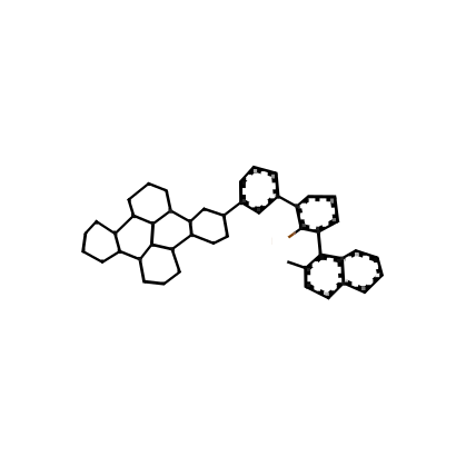 Cc1ccc2ccccc2c1-c1cccc(-c2cccc(C3CCC4C(C3)C3CCCC5C6CCCCC6C6CCCC4C6C53)c2)c1S